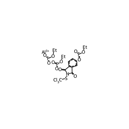 CCOP(=O)=O.CCOP(=O)=O.CCOP(=O)=O.O=C1c2ccccc2C(=O)N1SC(Cl)(Cl)Cl.[Al+3]